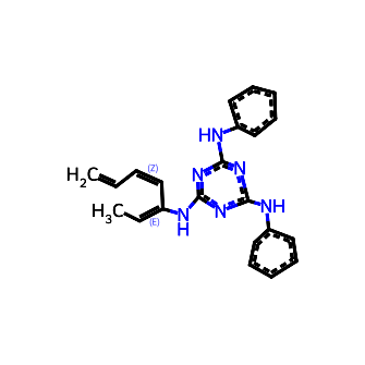 C=C/C=C\C(=C/C)Nc1nc(Nc2ccccc2)nc(Nc2ccccc2)n1